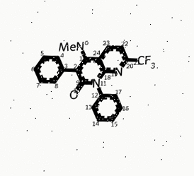 CNc1c(-c2ccccc2)c(=O)n(-c2ccccc2)c2nc(C(F)(F)F)ccc12